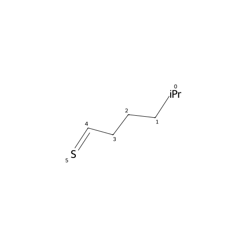 CC(C)CCCC=S